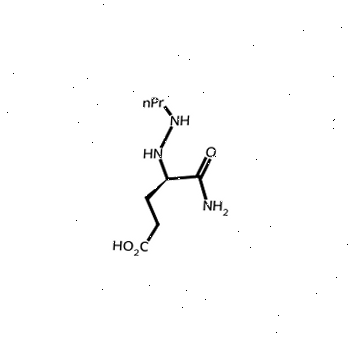 CCCNN[C@H](CCC(=O)O)C(N)=O